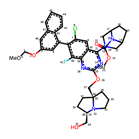 COCOc1cc(-c2c(Cl)cc3c(N4CC5CCC(C4)N5C(=O)OC(C)(C)C)nc(OC[C@@]45CCCN4[C@@H](CO)CC5)nc3c2F)c2ccccc2c1